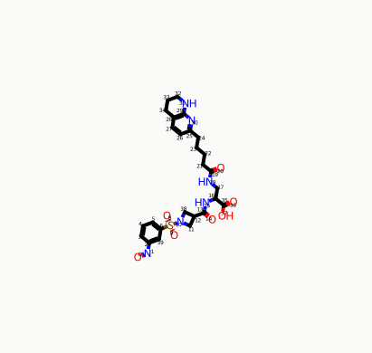 O=Nc1cccc(S(=O)(=O)N2CC(C(=O)NC(CNC(=O)CCCCc3ccc4c(n3)NCCC4)C(=O)O)C2)c1